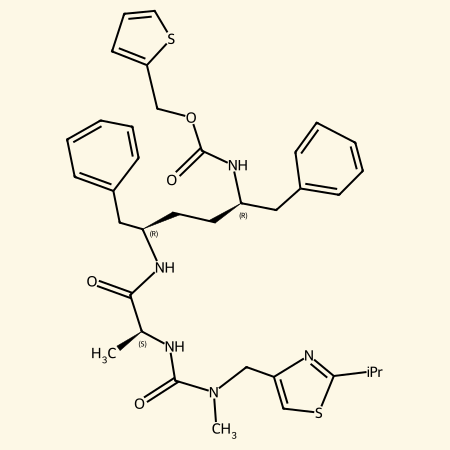 CC(C)c1nc(CN(C)C(=O)N[C@@H](C)C(=O)N[C@H](CC[C@H](Cc2ccccc2)NC(=O)OCc2cccs2)Cc2ccccc2)cs1